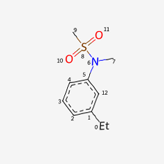 CCc1cccc(N(C)S(C)(=O)=O)c1